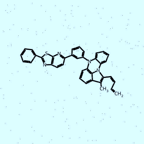 C=C/C=C\c1c(C)c2cccc3c2n1-c1ccccc1N3c1cccc(-c2ccc3nc(-c4ccccc4)sc3n2)c1